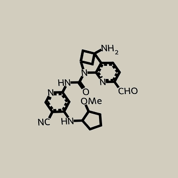 COC1CCCC1Nc1cc(NC(=O)N2c3nc(C=O)ccc3C3(N)CC2C3)ncc1C#N